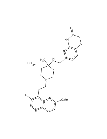 COc1ccc2ncc(F)c(CCN3CCC(C)(NCc4ccc5c(n4)NC(=O)CS5)CC3)c2n1.Cl.Cl